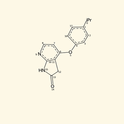 CC(C)c1ccc(Oc2ccnc3c2CC(=O)N3)cc1